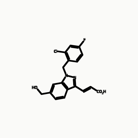 O=C(O)/C=C/c1nn(Cc2ccc(F)cc2Cl)c2cc(CO)ccc12